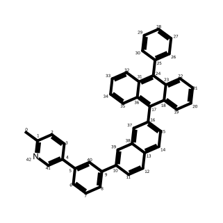 Cc1ccc(-c2cccc(-c3ccc4ccc(-c5c6ccccc6c(-c6ccccc6)c6ccccc56)cc4c3)c2)cn1